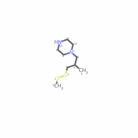 CSSCC(C)CN1CCNCC1